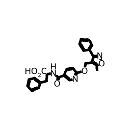 Cc1onc(-c2ccccc2)c1COc1ccc(C(=O)NC(Cc2ccccc2)C(=O)O)cn1